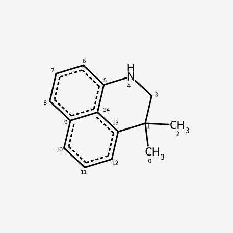 CC1(C)CNc2cccc3cccc1c23